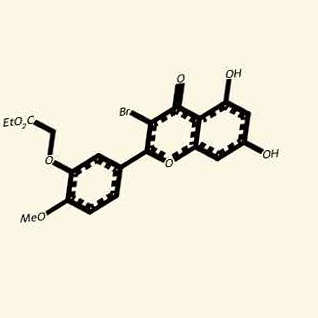 CCOC(=O)COc1cc(-c2oc3cc(O)cc(O)c3c(=O)c2Br)ccc1OC